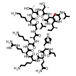 CCC(=O)N[C@@H](Cc1c[nH]cn1)C(=O)N[C@@H](CCC(N)=O)C(=O)N[C@@H](CCCCN)C(=O)N[C@@H](CCCNC(=N)N)C(=O)N[C@@H](CCCCN)C(=O)N[C@@H](C)C(=O)N[C@@H](CC(C)C)C(=O)N[C@@H](CCCCN)C(=O)N[C@H](C(=O)N[C@H](C(=O)N[C@H](C(=O)N[C@H](C(=O)N[C@@H](CC(C)C)C(N)=O)[C@@H](C)CC)C(C)C)[C@@H](C)O)[C@@H](C)O